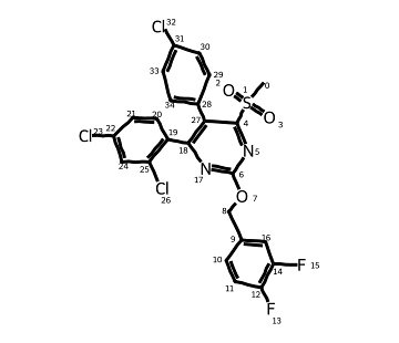 CS(=O)(=O)c1nc(OCc2ccc(F)c(F)c2)nc(-c2ccc(Cl)cc2Cl)c1-c1ccc(Cl)cc1